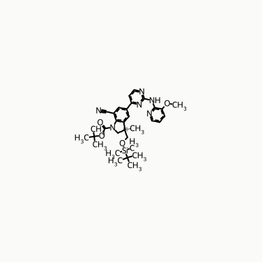 COc1cccnc1Nc1nccc(-c2cc(C#N)c3c(c2)[C@@](C)(CO[Si](C)(C)C(C)(C)C)CN3C(=O)OC(C)(C)C)n1